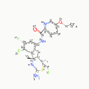 CC1[C@@](C)(CF)SC(N)=N[C@]1(C)c1cc(NC(=O)c2ccc(OCC(F)(F)F)cn2)cc(F)c1F